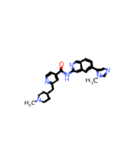 CN1CCC(Cc2cc(C(=O)Nc3cc4cc(-c5cncn5C)ccc4cn3)ccn2)CC1